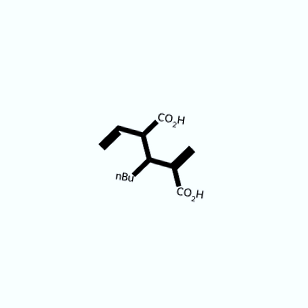 C=CC(C(=O)O)C(CCCC)C(=C)C(=O)O